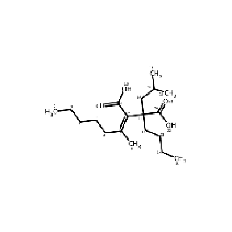 CCCCCC(C)=C(C(=O)O)C(CCCC)(CC(C)C)C(=O)O